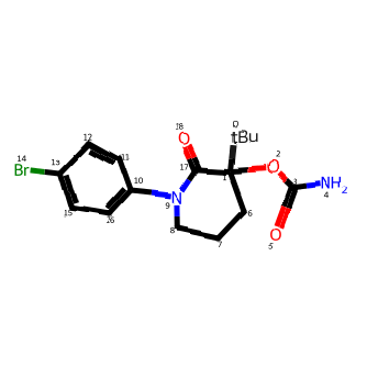 CC(C)(C)C1(OC(N)=O)CCCN(c2ccc(Br)cc2)C1=O